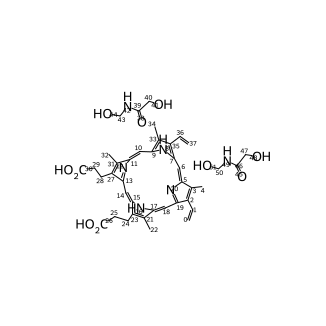 C=CC1=C(C)c2cc3[nH]c(cc4nc(cc5[nH]c(cc1n2)c(C)c5CCC(=O)O)C(CCC(=O)O)=C4C)c(C)c3C=C.O=C(CO)NCO.O=C(CO)NCO